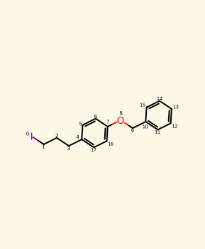 ICCCc1ccc(OCc2ccccc2)cc1